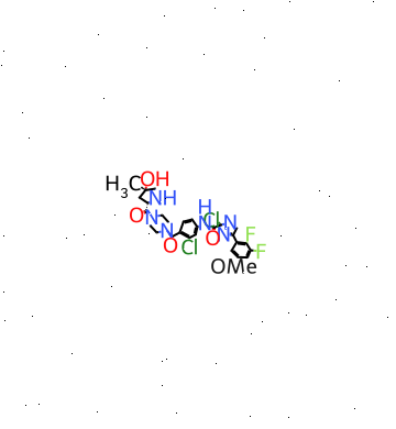 COc1ccc(C2=NC(Cl)(C(=O)Nc3ccc(C(=O)N4CCN(C(=O)[C@@H]5C[C@](C)(O)CN5)CC4)c(Cl)c3)N=C2)c(F)c1F